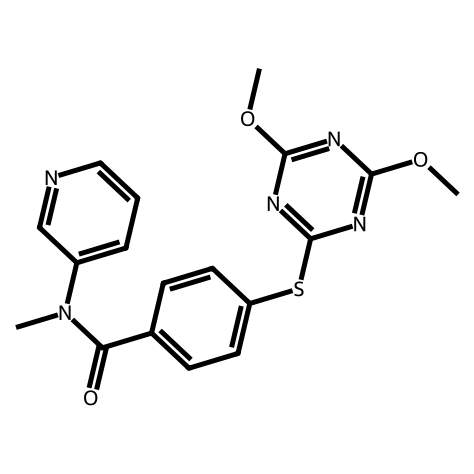 COc1nc(OC)nc(Sc2ccc(C(=O)N(C)c3cccnc3)cc2)n1